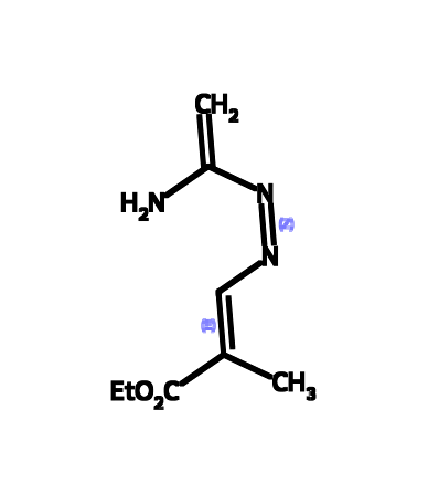 C=C(N)/N=N\C=C(/C)C(=O)OCC